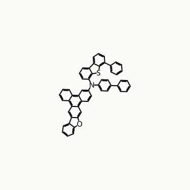 c1ccc(-c2ccc(N(c3ccc4c(c3)c3ccccc3c3cc5c(cc43)oc3ccccc35)c3cccc4c3sc3c(-c5ccccc5)cccc34)cc2)cc1